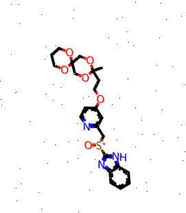 CC1(CCOc2ccnc(C[S+]([O-])c3nc4ccccc4[nH]3)c2)OCC2(CO1)OCCCO2